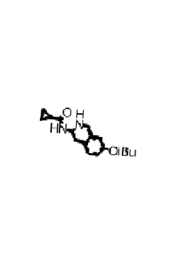 CC(C)COc1ccc2c(c1)=CNC(NC(=O)C1CC1)C=2